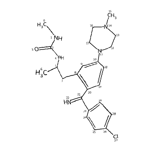 CNC(=O)PC(C)Cc1cc(N2CCN(C)CC2)ccc1C(=N)c1ccc(Cl)cc1